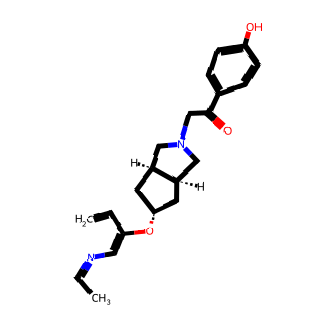 C=C/C(=C\N=C/C)O[C@H]1C[C@@H]2CN(CC(=O)c3ccc(O)cc3)C[C@@H]2C1